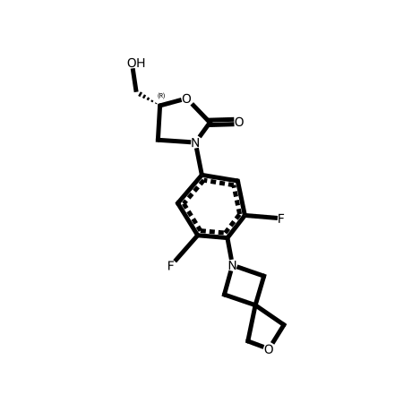 O=C1O[C@@H](CO)CN1c1cc(F)c(N2CC3(COC3)C2)c(F)c1